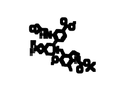 COC(=O)c1ccc([C@@H]2CC3(CCN2Cc2c(OC)cc(C)c4c2ccn4C(=O)OC(C)(C)C)CC(F)(F)C3)c(NCC2COC2)c1